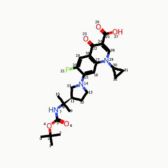 CC(C)(C)OC(=O)NC(C)(C)[C@@H]1CCN(c2cc3c(cc2F)c(=O)c(C(=O)O)cn3C2CC2)C1